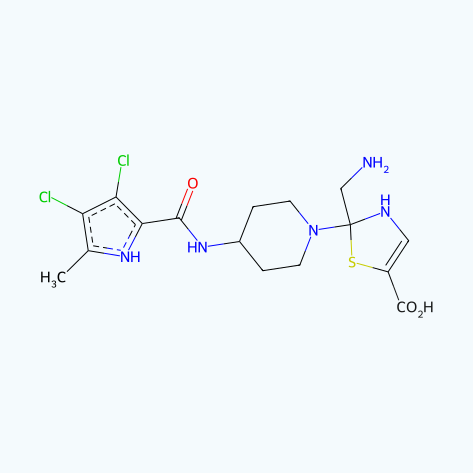 Cc1[nH]c(C(=O)NC2CCN(C3(CN)NC=C(C(=O)O)S3)CC2)c(Cl)c1Cl